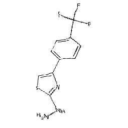 NNc1nc(-c2ccc(C(F)(F)F)cc2)cs1